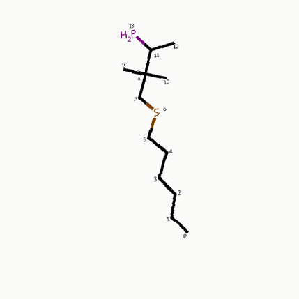 CCCCCCSCC(C)(C)C(C)P